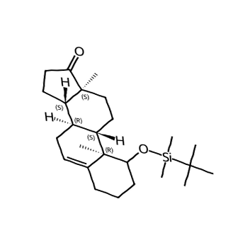 CC(C)(C)[Si](C)(C)OC1CCCC2=CC[C@H]3[C@@H]4CCC(=O)[C@@]4(C)CC[C@@H]3[C@]21C